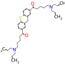 C=CCN(CC=C)CCCCC(=O)c1ccc2c(c1)Cc1cc(C(=O)CCCCN(CC=C)CC=C)ccc1S2